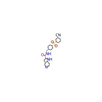 N#Cc1cccc(S(=O)(=O)c2ccc(CNC(=O)c3cc4cnccc4[nH]3)cc2)c1